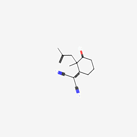 C=C(C)CC1(C)C(=O)CCCC1=C(C#N)C#N